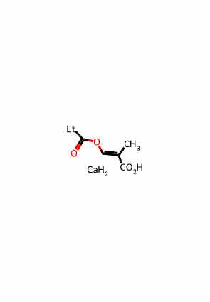 CCC(=O)OC=C(C)C(=O)O.[CaH2]